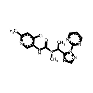 CC(c1ncnn1-c1ncccn1)N(C)C(=O)Nc1cnc(C(F)(F)F)cc1Cl